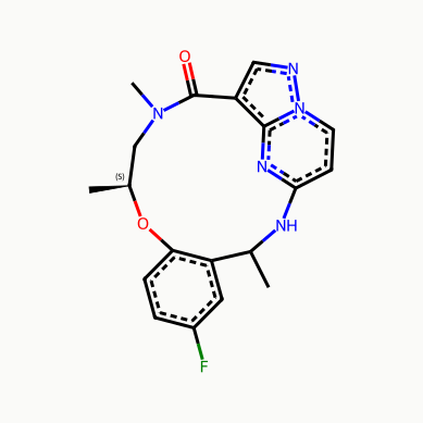 CC1Nc2ccn3ncc(c3n2)C(=O)N(C)C[C@H](C)Oc2ccc(F)cc21